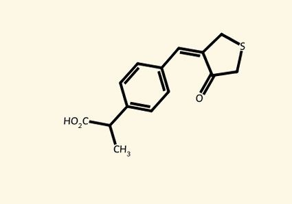 CC(C(=O)O)c1ccc(C=C2CSCC2=O)cc1